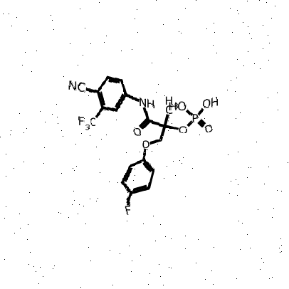 CC(COc1ccc(F)cc1)(OP(=O)(O)O)C(=O)Nc1ccc(C#N)c(C(F)(F)F)c1